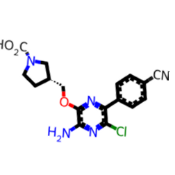 N#Cc1ccc(-c2nc(OC[C@@H]3CCN(C(=O)O)C3)c(N)nc2Cl)cc1